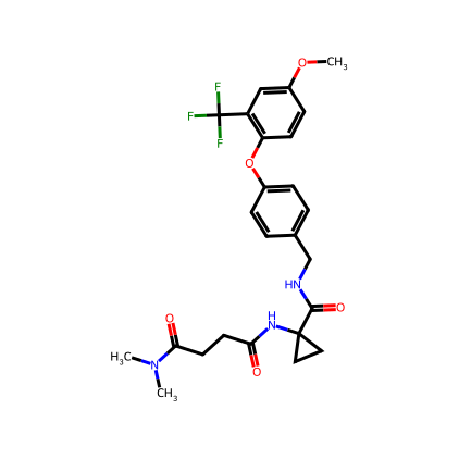 COc1ccc(Oc2ccc(CNC(=O)C3(NC(=O)CCC(=O)N(C)C)CC3)cc2)c(C(F)(F)F)c1